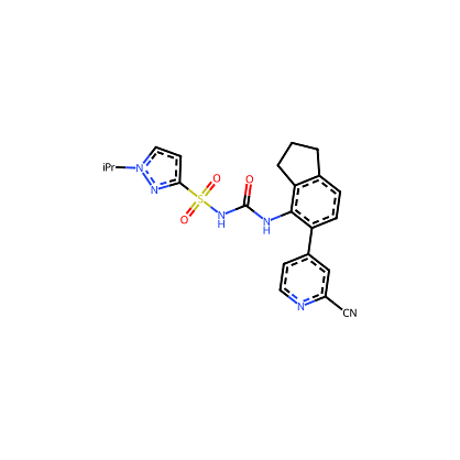 CC(C)n1ccc(S(=O)(=O)NC(=O)Nc2c(-c3ccnc(C#N)c3)ccc3c2CCC3)n1